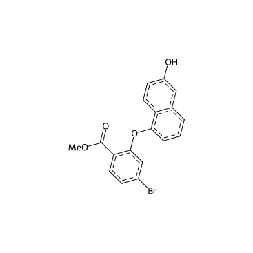 COC(=O)c1ccc(Br)cc1Oc1cccc2cc(O)ccc12